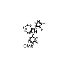 COc1ncc(-n2nc(-c3cn[nH]c3C)c3c2CCOCC3)cc1F